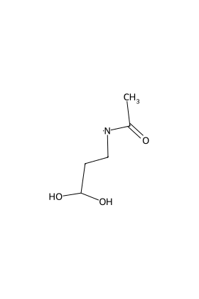 CC(=O)[N]CCC(O)O